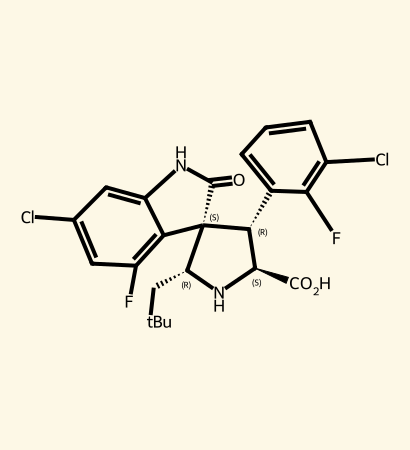 CC(C)(C)C[C@H]1N[C@H](C(=O)O)[C@@H](c2cccc(Cl)c2F)[C@@]12C(=O)Nc1cc(Cl)cc(F)c12